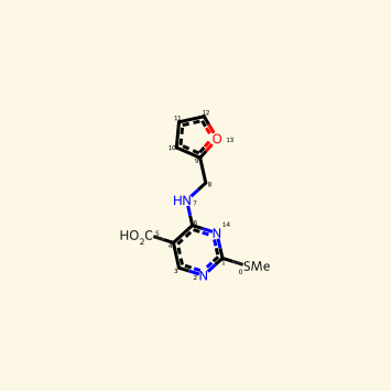 CSc1ncc(C(=O)O)c(NCc2ccco2)n1